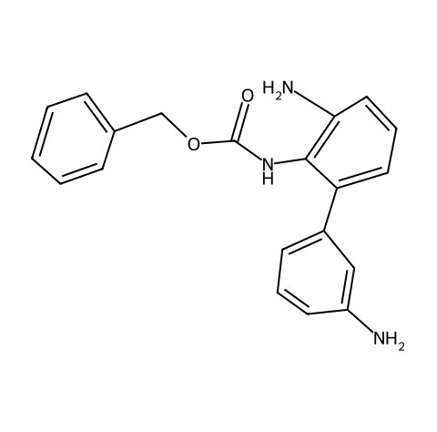 Nc1cccc(-c2cccc(N)c2NC(=O)OCc2ccccc2)c1